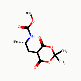 CC(C)[C@@H](CC1C(=O)OC(C)(C)OC1=O)NC(=O)OC(C)(C)C